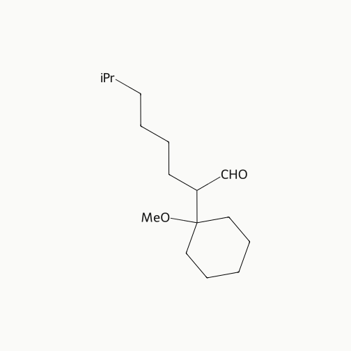 COC1(C(C=O)CCCCC(C)C)CCCCC1